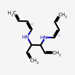 C=C/C=C\NC(C=C)C(C=C)N/C=C\C=C